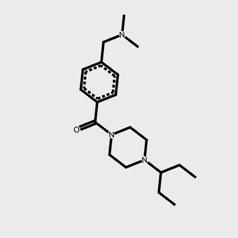 CCC(CC)N1CCN(C(=O)c2ccc(CN(C)C)cc2)CC1